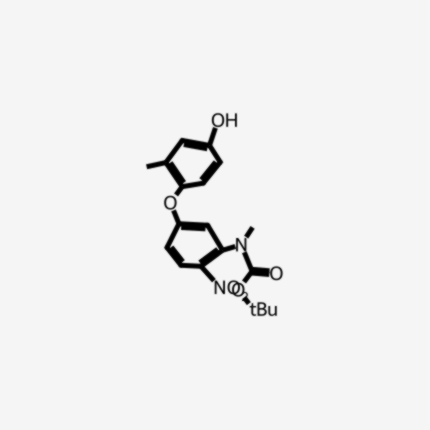 Cc1cc(O)ccc1Oc1ccc([N+](=O)[O-])c(N(C)C(=O)OC(C)(C)C)c1